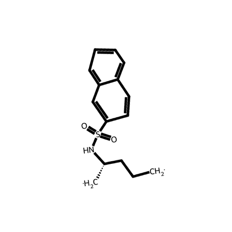 [CH2]CC[C@H]([CH2])NS(=O)(=O)c1ccc2ccccc2c1